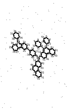 c1ccc(-c2c(-c3ccccc3)c3cc(N(c4ccc(-c5ccc6c(c5)c5ccccc5n6-c5ccccc5)cc4)c4ccc5c(ccc6ccccc65)c4)ccc3c3ccccc23)cc1